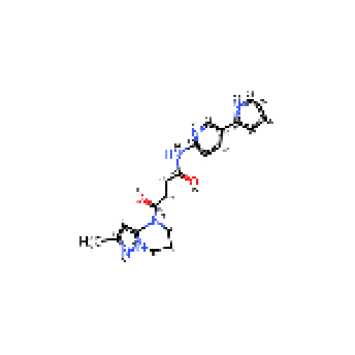 Cc1cc2n(n1)CCCN2C(=O)CCC(=O)Nc1ccc(-c2ccccn2)cn1